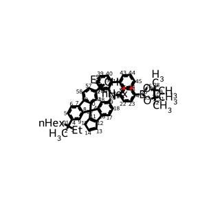 CCCCCCC(C)(CC)c1ccc2c(c1)C1(C3=C(C=CC3)c3ccc(N(c4ccc(B5OC(C)(C)C(C)(C)O5)cc4)c4ccccc4-c4ccccc4)cc31)c1cc(C(C)(CC)CCCCCC)ccc1-2